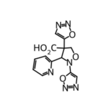 O=C(O)C1(c2cnno2)CON(c2cnno2)C1c1ccccn1